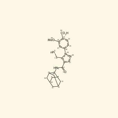 CCCSc1c(C(=O)NC2C3CC4CC(C3)CC2C4)cnn1-c1ccc(C(=O)O)c(OC)c1